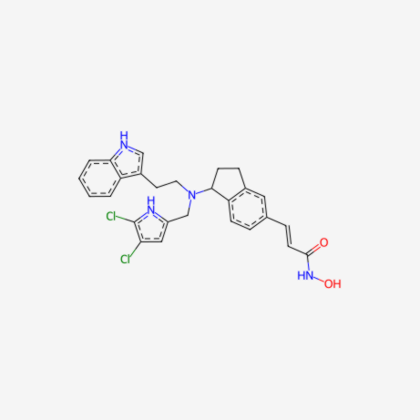 O=C(C=Cc1ccc2c(c1)CCC2N(CCc1c[nH]c2ccccc12)Cc1cc(Cl)c(Cl)[nH]1)NO